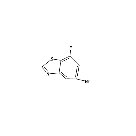 Fc1cc(Br)cc2ncsc12